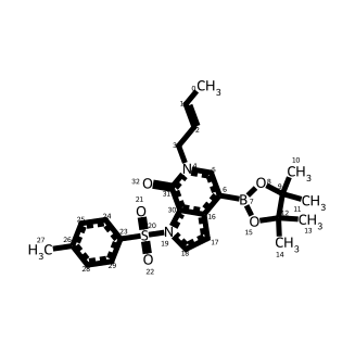 C/C=C/Cn1cc(B2OC(C)(C)C(C)(C)O2)c2ccn(S(=O)(=O)c3ccc(C)cc3)c2c1=O